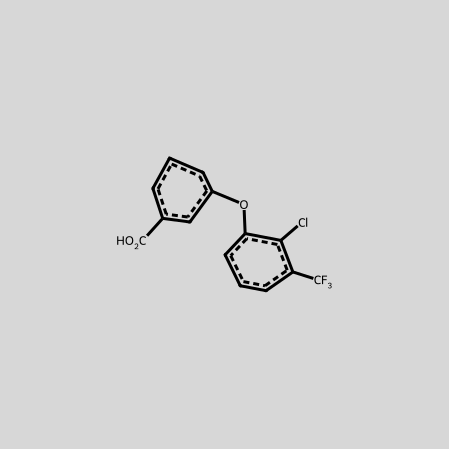 O=C(O)c1cccc(Oc2cccc(C(F)(F)F)c2Cl)c1